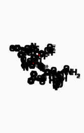 COc1ccc(COC(=O)[C@@H](Cc2ccccc2OCc2ccnc(-c3ccccc3OC)n2)Oc2ncnc3sc(-c4ccc(F)cc4)c(-c4ccc(OCCN5CC[N+](C)(Cc6ccc(NC(=O)[C@H](CCCNC(N)=O)NC(=O)[C@@H](NC(=O)OC(C)(C)C)C(C)C)cc6CN(C)C(=O)OCC6c7ccccc7-c7ccccc76)CC5)c(Cl)c4C)c23)cc1.O=C([O-])C(F)(F)F